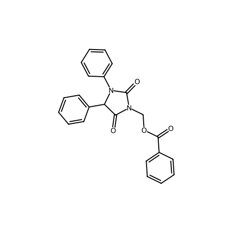 O=C(OCN1C(=O)C(c2ccccc2)N(c2ccccc2)C1=O)c1ccccc1